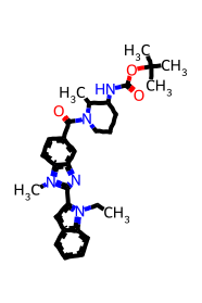 CCn1c(-c2nc3cc(C(=O)N4CCCC(NC(=O)OC(C)(C)C)C4C)ccc3n2C)cc2ccccc21